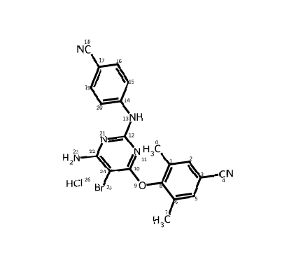 Cc1cc(C#N)cc(C)c1Oc1nc(Nc2ccc(C#N)cc2)nc(N)c1Br.Cl